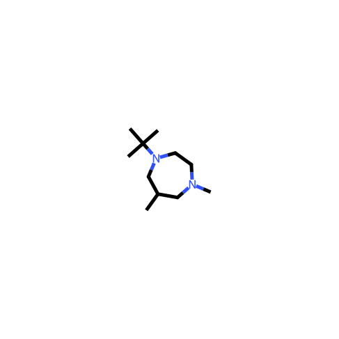 CC1CN(C)CCN(C(C)(C)C)C1